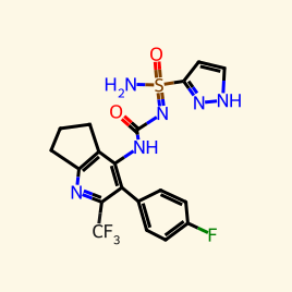 NS(=O)(=NC(=O)Nc1c2c(nc(C(F)(F)F)c1-c1ccc(F)cc1)CCC2)c1cc[nH]n1